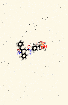 CC(C)(c1ccc(NC(=O)CCc2c(-c3ccccc3)noc2-c2ccccc2)cc1)P(=O)(O)O